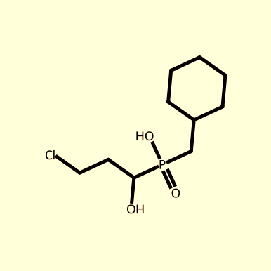 O=P(O)(CC1CCCCC1)C(O)CCCl